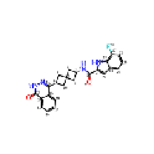 O=C(N[C@H]1CC2(C1)C[C@H](c1n[nH]c(=O)c3ccccc31)C2)c1cc2cccc(F)c2[nH]1